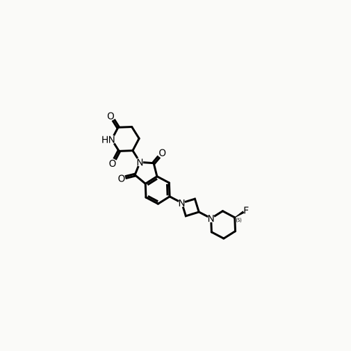 O=C1CCC(N2C(=O)c3ccc(N4CC(N5CCC[C@H](F)C5)C4)cc3C2=O)C(=O)N1